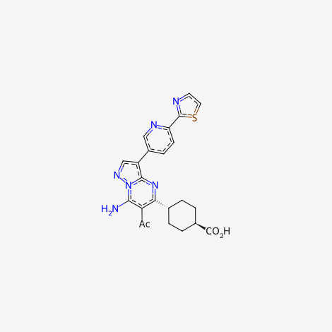 CC(=O)c1c(N)n2ncc(-c3ccc(-c4nccs4)nc3)c2nc1[C@H]1CC[C@H](C(=O)O)CC1